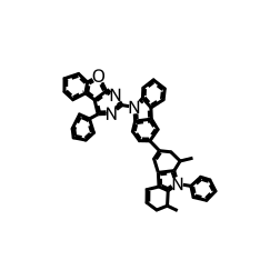 CC1CC=Cc2c3c(n(-c4ccccc4)c21)C(C)CC(c1ccc2c(c1)c1ccccc1n2-c1nc(-c2ccccc2)c2c(n1)oc1ccccc12)=C3